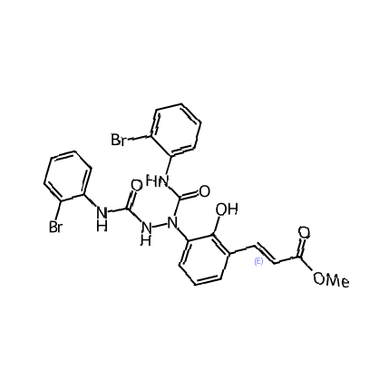 COC(=O)/C=C/c1cccc(N(NC(=O)Nc2ccccc2Br)C(=O)Nc2ccccc2Br)c1O